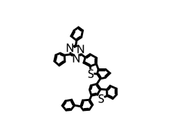 c1ccc(-c2cccc(-c3ccc(-c4cccc5c4sc4cc(-c6nc(-c7ccccc7)nc(-c7ccccc7)n6)ccc45)c4c3sc3ccccc34)c2)cc1